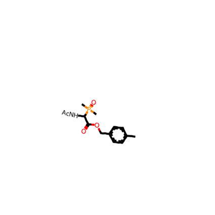 CC(=O)NC(C(=O)OCc1ccc(C)cc1)P(C)(C)=O